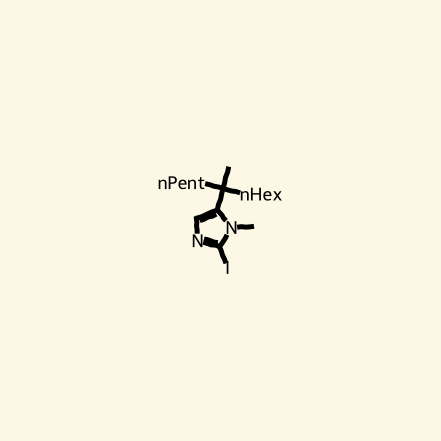 CCCCCCC(C)(CCCCC)c1cnc(I)n1C